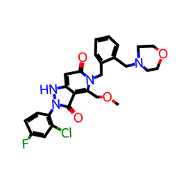 COCc1c2c(=O)n(-c3ccc(F)cc3Cl)[nH]c2cc(=O)n1Cc1ccccc1CN1CCOCC1